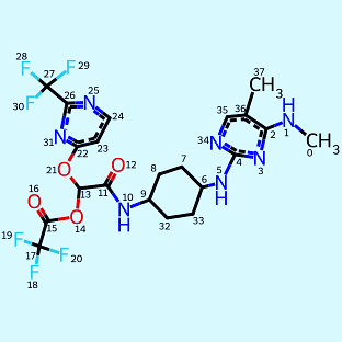 CNc1nc(NC2CCC(NC(=O)C(OC(=O)C(F)(F)F)Oc3ccnc(C(F)(F)F)n3)CC2)ncc1C